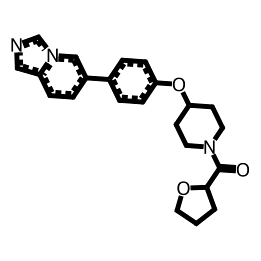 O=C(C1CCCO1)N1CCC(Oc2ccc(-c3ccc4cncn4c3)cc2)CC1